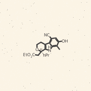 CCC[C@]1(CC(=O)OCC)OCCc2c1[nH]c1c(C)c(O)cc(C#N)c21